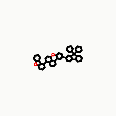 c1ccc(C2(c3ccccc3)c3ccccc3-c3ccc(-c4ccc5c(c4)-c4cccc6c(-c7cccc8oc9ccccc9c78)ccc(c46)O5)cc32)cc1